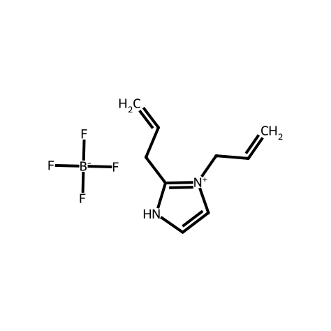 C=CCc1[nH]cc[n+]1CC=C.F[B-](F)(F)F